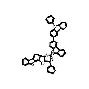 c1ccc(-c2nc(-n3c4ccccc4c4cc(-c5ccc6c(c5)c5ccccc5n6-c5ccccc5)ccc43)nc3c2oc2c3ccc3c4ccccc4sc32)cc1